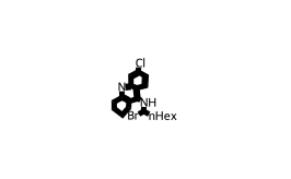 CCCCCCC(Br)Nc1c2c(nc3cc(Cl)ccc13)CCCC2